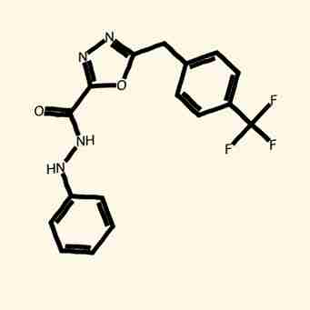 O=C(NNc1ccccc1)c1nnc(Cc2ccc(C(F)(F)F)cc2)o1